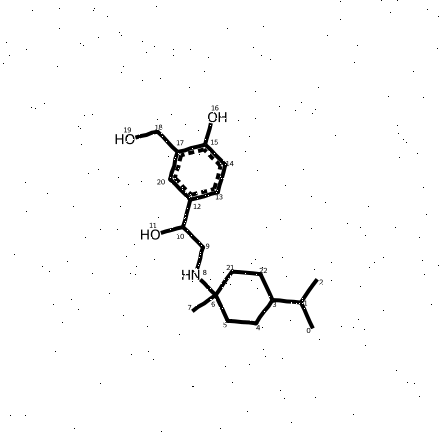 CC(C)C1CCC(C)(NCC(O)c2ccc(O)c(CO)c2)CC1